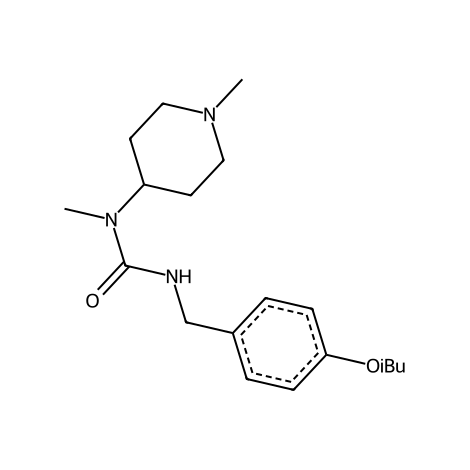 CC(C)COc1ccc(CNC(=O)N(C)C2CCN(C)CC2)cc1